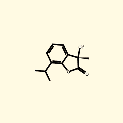 CC(C)c1cccc2c1OC(=O)[C@@]2(C)O